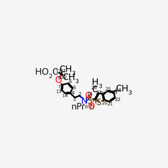 CCCN(CCc1ccc(OC(C)(C)C(=O)O)cc1)S(=O)(=O)c1sc2ccc(C)cc2c1C